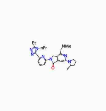 CCCn1c(CC)nnc1-c1cccc(N2Cc3c(cc(N4CCC[C@H]4C)nc3CNC)C2=O)n1